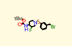 CC(C)(C)OC(=O)NC1CCN(Sc2cccc(CBr)c2)CC1F